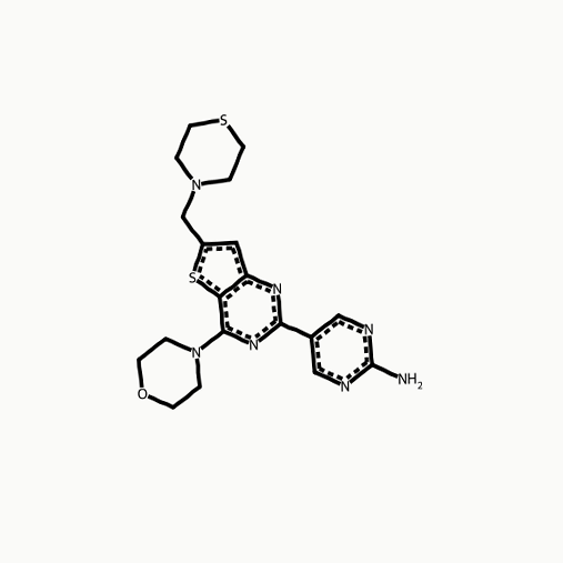 Nc1ncc(-c2nc(N3CCOCC3)c3sc(CN4CCSCC4)cc3n2)cn1